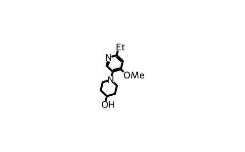 CCc1cc(OC)c(N2CCC(O)CC2)cn1